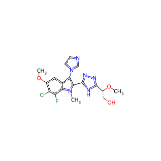 COc1cc2c(-n3ccnc3)c(-c3nnc([C@@H](CO)OC)[nH]3)n(C)c2c(F)c1Cl